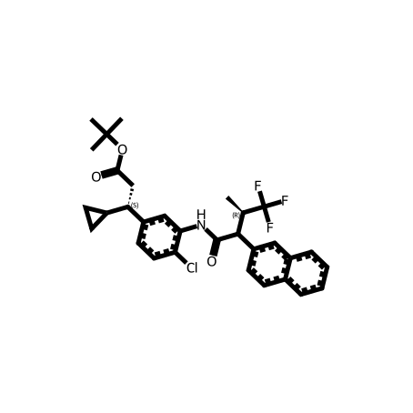 C[C@H](C(C(=O)Nc1cc([C@@H](CC(=O)OC(C)(C)C)C2CC2)ccc1Cl)c1ccc2ccccc2c1)C(F)(F)F